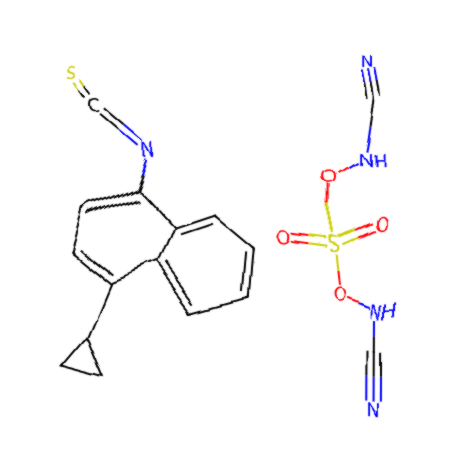 N#CNOS(=O)(=O)ONC#N.S=C=Nc1ccc(C2CC2)c2ccccc12